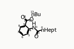 CCCCCCCC(=O)Nc1ccccc1C(=O)OCCCC